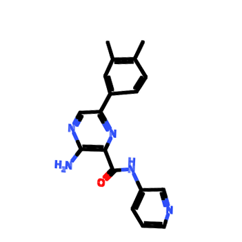 Cc1ccc(-c2cnc(N)c(C(=O)Nc3cccnc3)n2)cc1C